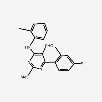 CSc1nc(Nc2ccccc2C)c(C=O)c(-c2ccc(F)cc2C)n1